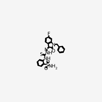 NS(=O)(=O)c1ccccc1NC(=S)NN=C1C(=O)N(Cc2ccccc2)c2cc(F)ccc21